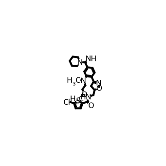 COCCN(C)c1cc(C(=N)N2CCCCC2)ccc1C1=NOC(CNC(=O)c2ccc(Cl)s2)C1